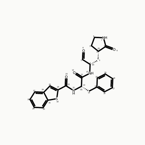 O=C[C@H](C[C@@H]1CCNC1=O)NC(=O)[C@H](Cc1ccccc1)NC(=O)c1cc2ccccc2s1